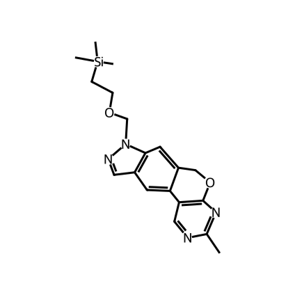 Cc1ncc2c(n1)OCc1cc3c(cnn3COCC[Si](C)(C)C)cc1-2